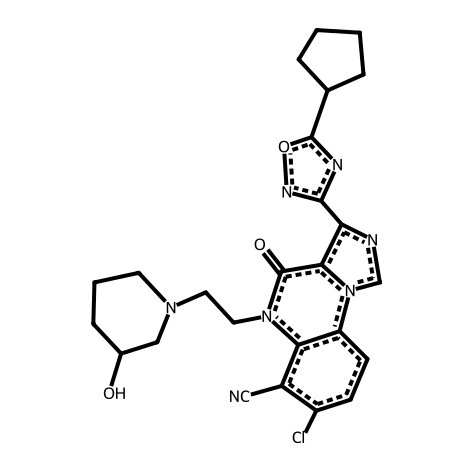 N#Cc1c(Cl)ccc2c1n(CCN1CCCC(O)C1)c(=O)c1c(-c3noc(C4CCCC4)n3)ncn12